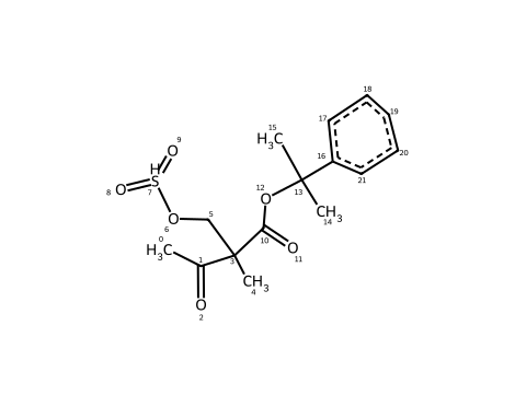 CC(=O)C(C)(CO[SH](=O)=O)C(=O)OC(C)(C)c1ccccc1